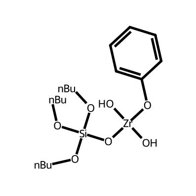 CCCCO[Si](OCCCC)(OCCCC)[O][Zr]([OH])([OH])[O]c1ccccc1